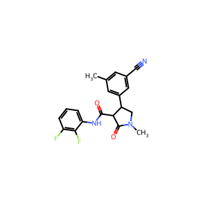 Cc1cc(C#N)cc(C2CN(C)C(=O)C2C(=O)Nc2cccc(F)c2F)c1